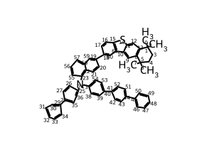 CC1(C)CCC(C)(C)c2cc3c(cc21)sc1ccc(-c2ccc4c(N(c5ccc(-c6ccccc6)cc5)c5ccc(-c6ccc(-c7ccccc7)cc6)cc5)cccc4c2)cc13